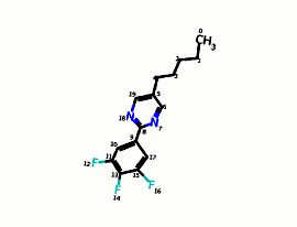 CCCCCc1cnc(-c2cc(F)c(F)c(F)c2)nc1